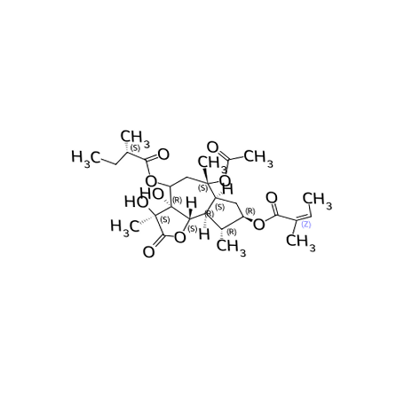 C/C=C(/C)C(=O)O[C@@H]1C[C@H]2[C@@H]([C@H]1C)[C@@H]1OC(=O)[C@@](C)(O)[C@@]1(O)C(OC(=O)[C@@H](C)CC)C[C@]2(C)OC(C)=O